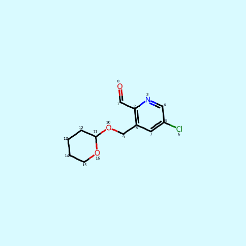 O=Cc1ncc(Cl)cc1COC1CCCCO1